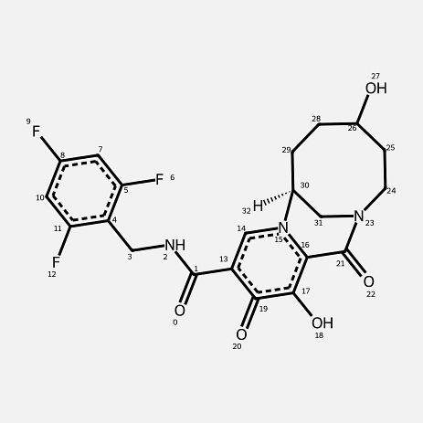 O=C(NCc1c(F)cc(F)cc1F)c1cn2c(c(O)c1=O)C(=O)N1CCC(O)CC[C@H]2C1